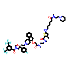 Cc1cc(NCCCCCC(=O)N(C)CCN2CC[CH]CC2)sc1C(=O)N(C)CCN(C)C(=O)CO[C@H]1Cc2ccccc2C12CCN(CC[C@@]1(c3ccc(F)cc3)CN(C(=O)c3cc(C(F)(F)F)cc(C(F)(F)F)c3)CO1)CC2